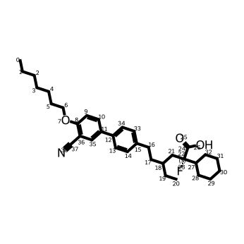 CCCCCCCOc1ccc(-c2ccc(CCC(CC)C[C@@](F)(C(=O)O)C3CCCCC3)cc2)cc1C#N